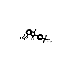 CS(=O)(=O)Oc1cccc2c1C(=O)N(c1ccc(C(F)(F)C(F)(F)F)cc1)C2=O